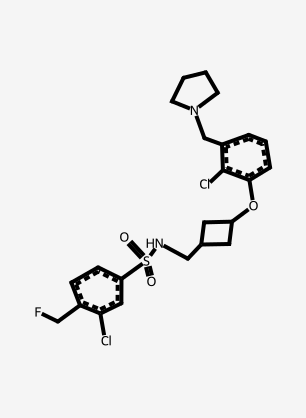 O=S(=O)(NCC1CC(Oc2cccc(CN3CCCC3)c2Cl)C1)c1ccc(CF)c(Cl)c1